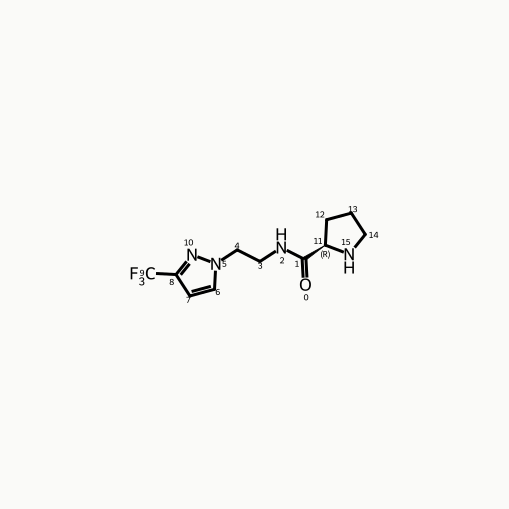 O=C(NCCn1ccc(C(F)(F)F)n1)[C@H]1CCCN1